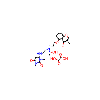 Cc1coc2cccc(OCCCN(CCNc3cc(=O)n(C)c(=O)n3C)C(C)O)c2c1=O.O=C(O)C(=O)O